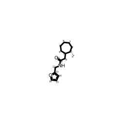 C[C@H]1CCCCCC1CC(=O)NCc1ccco1